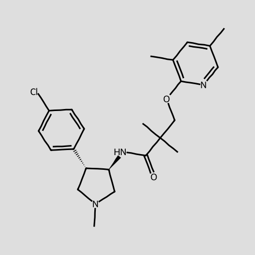 Cc1cnc(OCC(C)(C)C(=O)N[C@H]2CN(C)C[C@@H]2c2ccc(Cl)cc2)c(C)c1